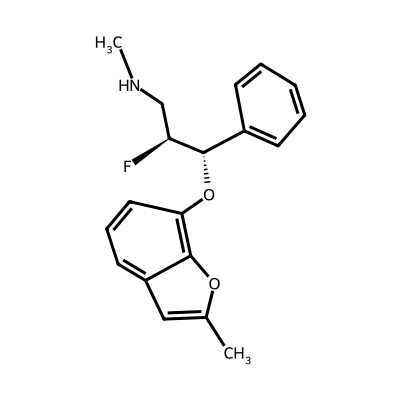 CNC[C@H](F)[C@@H](Oc1cccc2cc(C)oc12)c1ccccc1